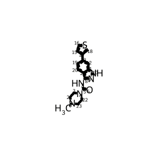 CN1CCN(C(=O)Nc2n[nH]c3cc(-c4ccsc4)ccc23)CC1